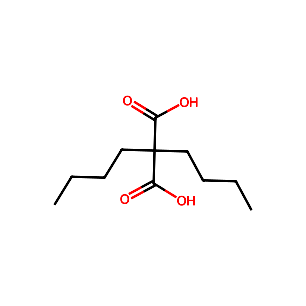 CCCCC(CCCC)(C(=O)O)C(=O)O